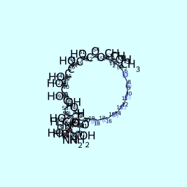 C[C@@H]1[C@H](O)[C@@H](C)/C=C/C=C/C=C/C=C/C=C/C=C/C=C/[C@H](O[C@@H]2O[C@H](C)[C@@H](O)[C@H](N)[C@@H]2O)C[C@@H]2O[C@](O)(C[C@@H](O)C[C@@H](O)[C@H](O)CC[C@@H](O)C[C@@H](O)CC(=O)O[C@H]1C)C[C@H](O)[C@H]2C(=O)NC[C@H](N)O